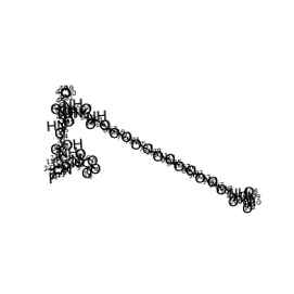 CO[C@@H]1C(=O)OCc2c1cc1n(c2=O)Cc2c-1nc1cc(F)c(C)c3c1c2C(NC(=O)[C@H](O)CCOCNC(=O)CNC(=O)[C@H](Cc1ccccc1)NC(=O)CNC(=O)CNC(=O)CCOCCOCCOCCOCCOCCOCCOCCOCCOCCOCCOCCOCCNC(=O)CCN1C(=O)C=CC1=O)CC3